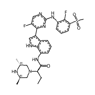 CCC(C(=O)Nc1cccc2c(-c3nc(Nc4cccc(S(C)(=O)=O)c4F)ncc3F)c[nH]c12)N1C[C@@H](C)N[C@H](C)C1